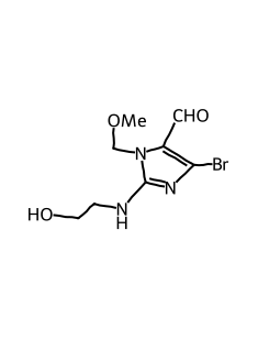 COCn1c(NCCO)nc(Br)c1C=O